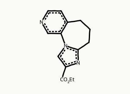 CCOC(=O)c1cn2c(n1)CCCc1ccncc1-2